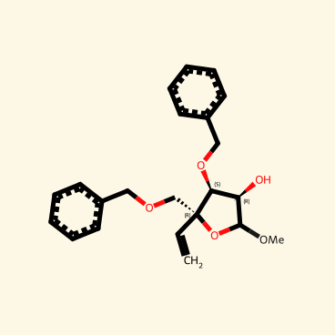 C=C[C@]1(COCc2ccccc2)OC(OC)[C@H](O)[C@@H]1OCc1ccccc1